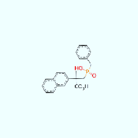 CC(CP(=O)(O)Cc1ccccc1)(C(=O)O)c1ccc2ccccc2c1